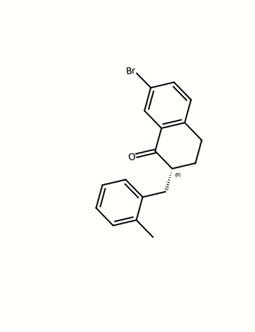 Cc1ccccc1C[C@H]1CCc2ccc(Br)cc2C1=O